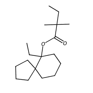 CCC(C)(C)C(=O)OC1(CC)CCCCC12CCCC2